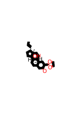 CC=C[C@H]1CC[C@@]2(O)[C@@H]3CCC4CC(=O)C(C5OCCO5)C[C@]4(C)[C@H]3CC[C@]12C